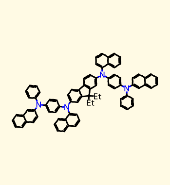 CCC1(CC)c2cc(N(c3ccc(N(c4ccccc4)c4ccc5ccccc5c4)cc3)c3cccc4ccccc34)ccc2-c2ccc(N(c3ccc(N(c4ccccc4)c4ccc5ccccc5c4)cc3)c3cccc4ccccc34)cc21